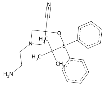 CC(C)(C)[Si](OC1(C#N)CN(CCN)C1)(c1ccccc1)c1ccccc1